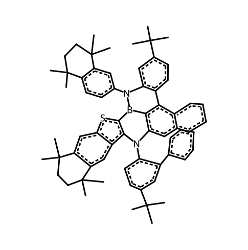 CC(C)(C)c1ccc(N2c3cc4ccccc4c4c3B(c3sc5cc6c(cc5c32)C(C)(C)CCC6(C)C)N(c2ccc3c(c2)C(C)(C)CCC3(C)C)c2cc(C(C)(C)C)ccc2-4)c(-c2ccccc2)c1